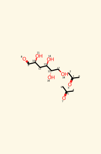 CC(C)=O.CC(C)=O.O=C[C@@H](O)C[C@@H](O)[C@@H](O)CO